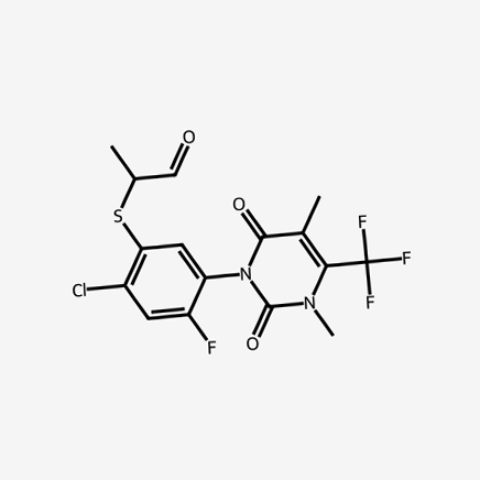 Cc1c(C(F)(F)F)n(C)c(=O)n(-c2cc(SC(C)C=O)c(Cl)cc2F)c1=O